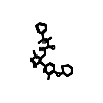 Cc1nc(-c2nnn(C)c2CNC(=O)N(C)[C@@H](C)c2ccccc2)ccc1OC1CCCCC1